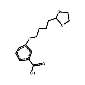 O=C(O)c1cccc(OCCCCC2OCCO2)c1